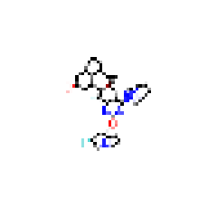 Oc1cc(-c2ccc3c(N4CC5CCC(C4)N5)nc(OC[C@@]45CCCN4CC(F)C5)nc3c2F)c2c(C3CC3)cccc2c1